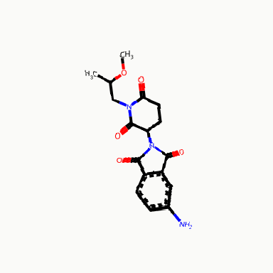 COC(C)CN1C(=O)CCC(N2C(=O)c3ccc(N)cc3C2=O)C1=O